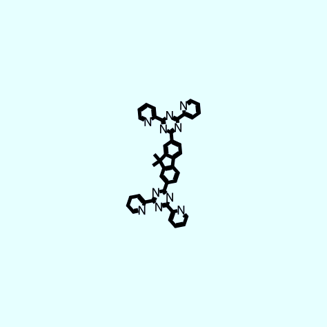 CC1(C)c2cc(-c3nc(C4=CCCC=N4)nc(-c4ccccn4)n3)ccc2-c2ccc(-c3nc(-c4ccccn4)nc(-c4ccccn4)n3)cc21